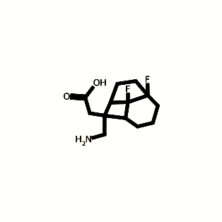 NCC1(CC(=O)O)C2CCCC3(F)CCC1C23F